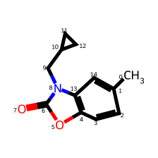 Cc1ccc2oc(=O)n(CC3CC3)c2c1